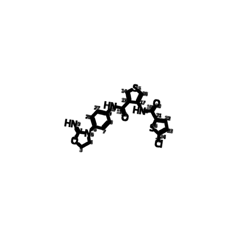 N=C1OCCN1c1ccc(NC(=O)c2cscc2NC(=O)c2ccc(Cl)s2)cc1